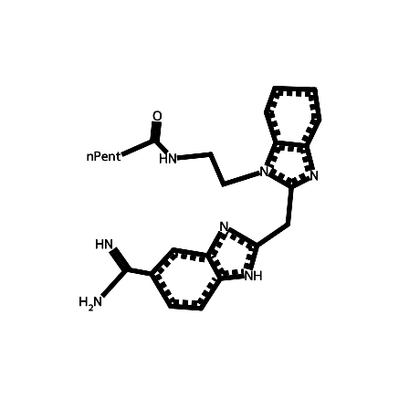 CCCCCC(=O)NCCn1c(Cc2nc3cc(C(=N)N)ccc3[nH]2)nc2ccccc21